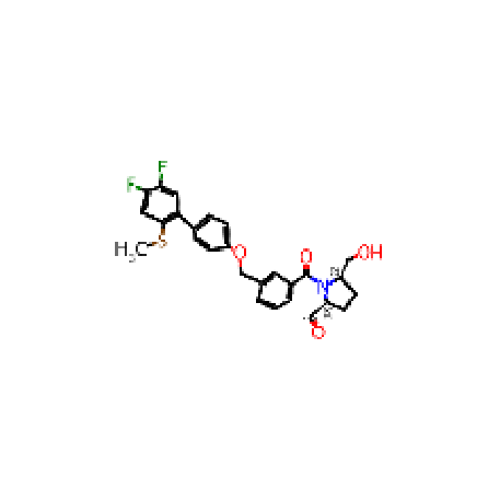 CSc1cc(F)c(F)cc1-c1ccc(OCc2cccc(C(=O)N3[C@@H](CO)CC[C@H]3[C]=O)c2)cc1